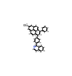 CC(C)(C)c1cc2ccc3c(-c4ccccc4)cc(-c4ccc(-c5nccc6ccccc56)cc4)c4ccc(c1)c2c34